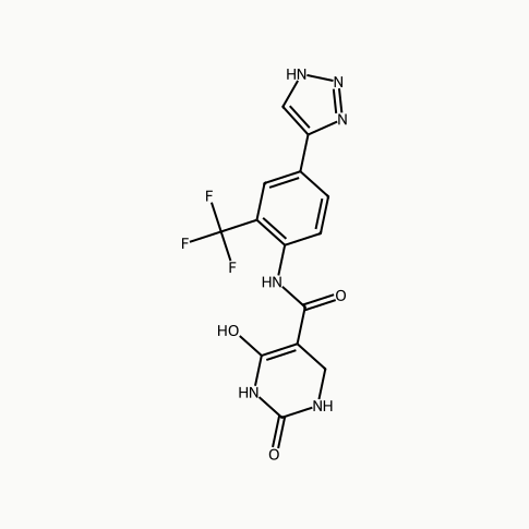 O=C1NCC(C(=O)Nc2ccc(-c3c[nH]nn3)cc2C(F)(F)F)=C(O)N1